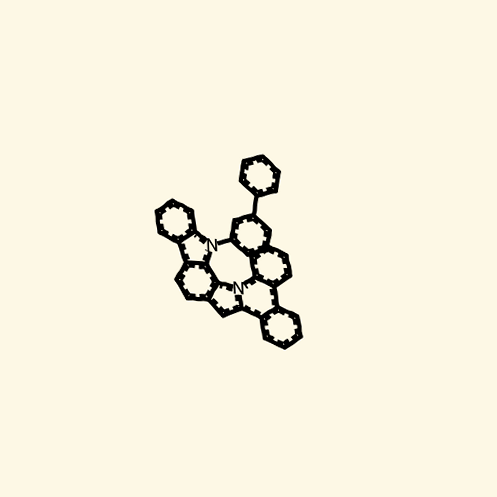 c1ccc(-c2cccc(-n3c4ccccc4c4ccc5cc6c7ccccc7c7ccccc7n6c5c43)c2)cc1